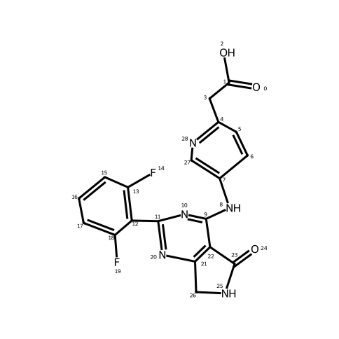 O=C(O)Cc1ccc(Nc2nc(-c3c(F)cccc3F)nc3c2C(=O)NC3)cn1